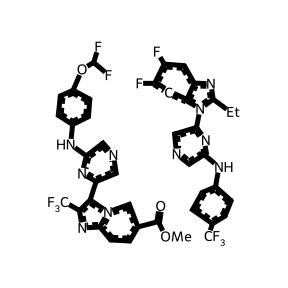 CCc1nc2cc(F)c(F)cc2n1-c1cncc(Nc2ccc(C(F)(F)F)cc2)n1.COC(=O)c1ccc2nc(C(F)(F)F)c(-c3cncc(Nc4ccc(OC(F)F)cc4)n3)n2c1